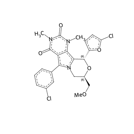 COC[C@H]1Cn2c(-c3cccc(Cl)c3)c3c(=O)n(C)c(=O)n(C)c3c2[C@H](c2ccc(Cl)o2)O1